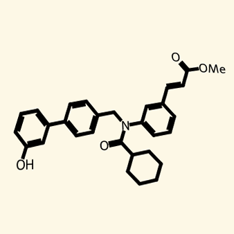 COC(=O)/C=C/c1cccc(N(Cc2ccc(-c3cccc(O)c3)cc2)C(=O)C2CCCCC2)c1